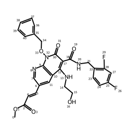 COC(=O)C=Cc1cnc2c(c1)c(NCCO)c(C(=O)NCc1ccc(F)cc1F)c(=O)n2OCc1ccccc1